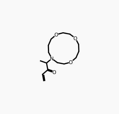 C=CC(=O)C(C)N1CCCOCCOCCCOCC1